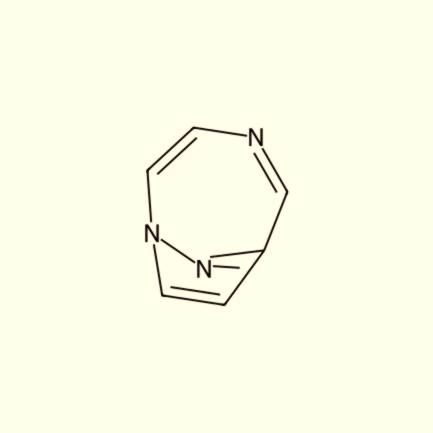 C1=Cn2ccc(n2)C=N1